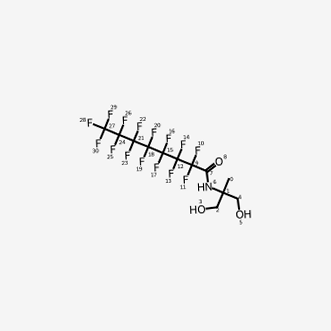 CC(CO)(CO)NC(=O)C(F)(F)C(F)(F)C(F)(F)C(F)(F)C(F)(F)C(F)(F)C(F)(F)F